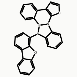 c1ccc2c(c1)B1N(c3ccccc3N1c1cccc3c1oc1ccccc13)c1occc1-2